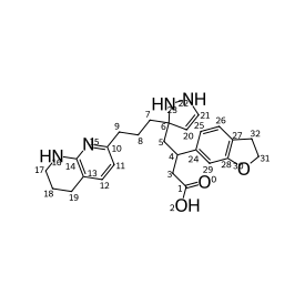 O=C(O)CC(CC1(CCCc2ccc3c(n2)NCCC3)C=CNN1)c1ccc2c(c1)OCC2